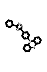 c1ccc(-c2nnc(-c3ccc(N4c5ccccc5Sc5ccccc54)cc3)o2)cc1